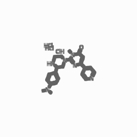 CN(C)c1ccc(C2CN(c3nc(-c4ccncc4)cc(=O)n3C)CCN2)cc1.Cl.Cl.Cl